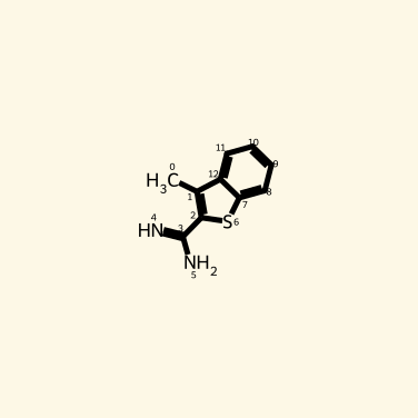 Cc1c(C(=N)N)sc2ccccc12